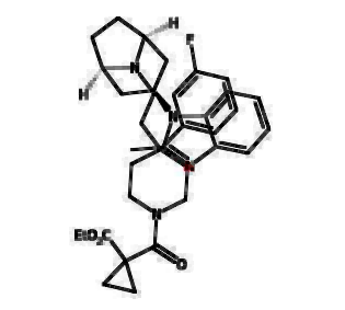 CCOC(=O)C1(C(=O)N2CCC(CCN3[C@@H]4CC[C@H]3C[C@@H](n3c(C)nc5ccccc53)C4)(c3cccc(F)c3)CC2)CC1